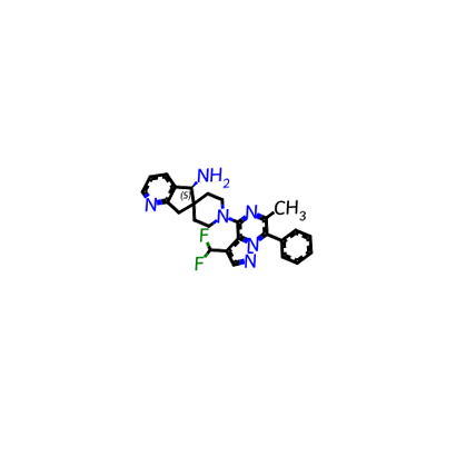 Cc1nc(N2CCC3(CC2)Cc2ncccc2[C@H]3N)c2c(C(F)F)cnn2c1-c1ccccc1